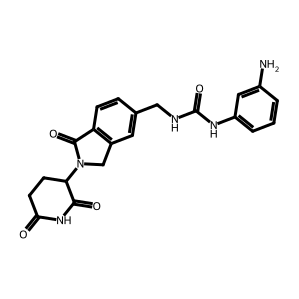 Nc1cccc(NC(=O)NCc2ccc3c(c2)CN(C2CCC(=O)NC2=O)C3=O)c1